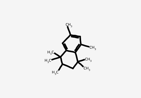 Cc1cc(C)c2c(c1)C(C)(C)C(C)CC2(C)C